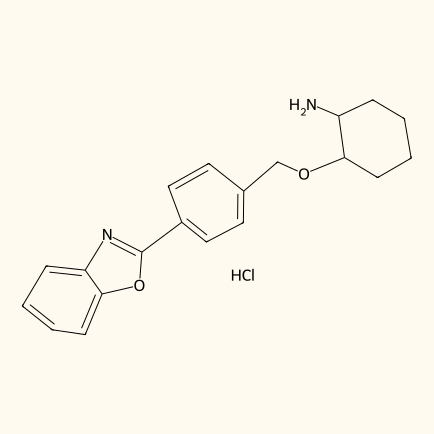 Cl.NC1CCCCC1OCc1ccc(-c2nc3ccccc3o2)cc1